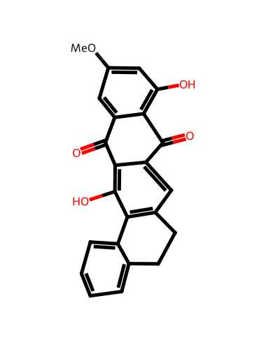 COc1cc(O)c2c(c1)C(=O)c1c(cc3c(c1O)-c1ccccc1CC3)C2=O